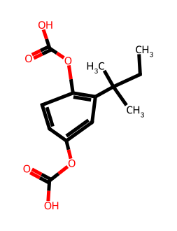 CCC(C)(C)c1cc(OC(=O)O)ccc1OC(=O)O